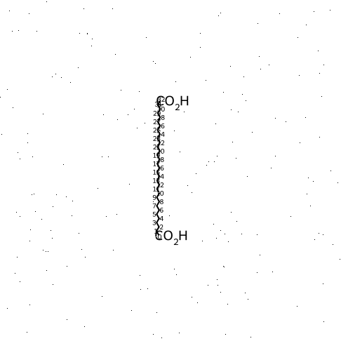 O=C(O)CCCCCCCCCCCCCCCCCCCCCCCCCCCCCCCC(=O)O